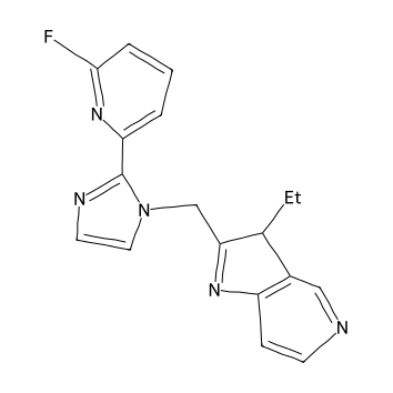 CCC1C(Cn2ccnc2-c2cccc(F)n2)=Nc2ccncc21